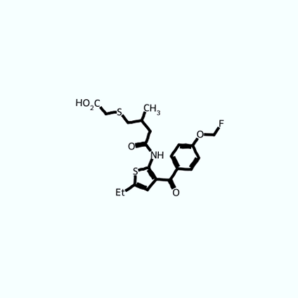 CCc1cc(C(=O)c2ccc(OCF)cc2)c(NC(=O)CC(C)CSCC(=O)O)s1